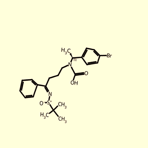 C[C@@H](c1ccc(Br)cc1)N(CCCC(=N[S+]([O-])C(C)(C)C)c1ccccc1)C(=O)O